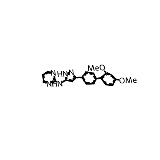 COc1ccc(-c2ccc(-c3cc(Nc4ncccn4)[nH]n3)cc2)c(OC)c1